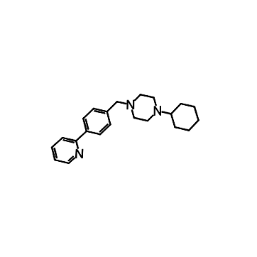 c1ccc(-c2ccc(CN3CCN(C4CCCCC4)CC3)cc2)nc1